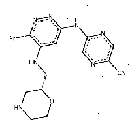 CC(C)c1nnc(Nc2cnc(C#N)cn2)cc1NC[C@H]1CNCCO1